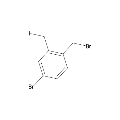 BrCc1ccc(Br)cc1CI